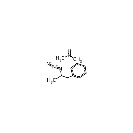 CC(Cc1ccccc1)N=[N+]=[N-].CNC